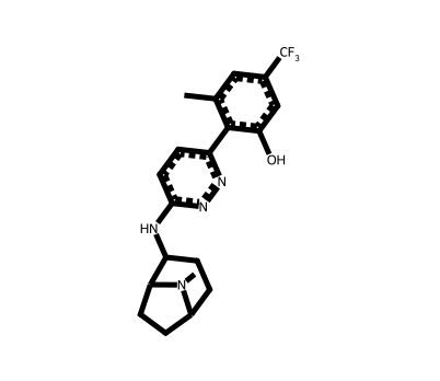 Cc1cc(C(F)(F)F)cc(O)c1-c1ccc(NC2CCC3CCC2N3C)nn1